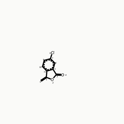 C=C1OC(=O)c2cc(Cl)ccc21